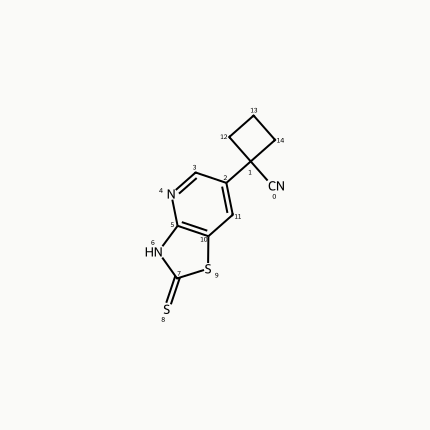 N#CC1(c2cnc3[nH]c(=S)sc3c2)CCC1